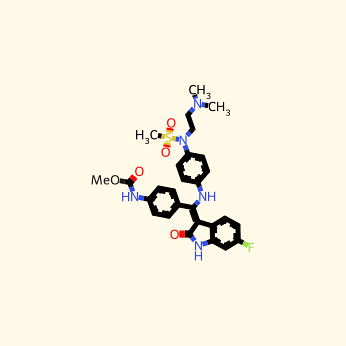 COC(=O)Nc1ccc(C(Nc2ccc(N(CCN(C)C)S(C)(=O)=O)cc2)=C2C(=O)Nc3cc(F)ccc32)cc1